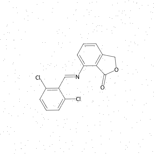 O=C1OCc2cccc(N=Cc3c(Cl)cccc3Cl)c21